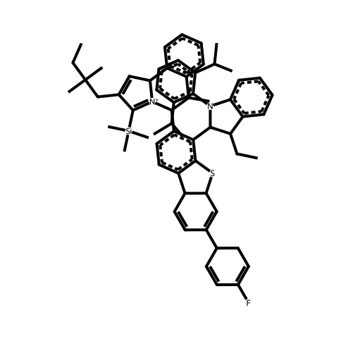 CCC1c2ccccc2N(c2c(C(C)C)cccc2C(C)C)C1c1c(C2C(C)c3ccccc3C3C=C(CC(C)(C)CC)C([Si](C)(C)C)=[N+]32)ccc2c1SC1C=C(C3C=CC(F)=CC3)C=CC21